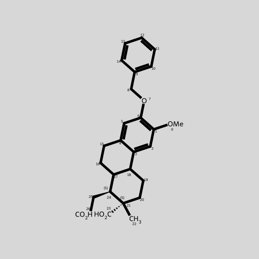 COc1cc2c(cc1OCc1ccccc1)CCC1C2CC[C@](C)(C(=O)O)[C@H]1CC(=O)O